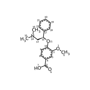 COc1cc(C(=O)O)ccc1O[C@@H](CN(C)C)c1ccccc1